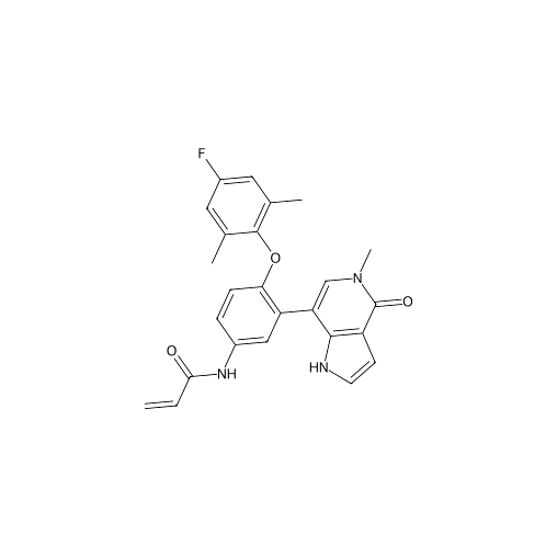 C=CC(=O)Nc1ccc(Oc2c(C)cc(F)cc2C)c(-c2cn(C)c(=O)c3cc[nH]c23)c1